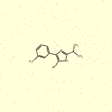 Cc1cccc(-c2nc(C(C)C)[nH]c2Br)c1